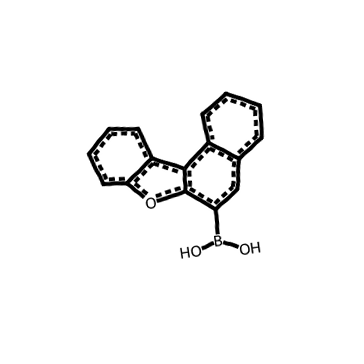 OB(O)c1cc2ccccc2c2c1oc1ccccc12